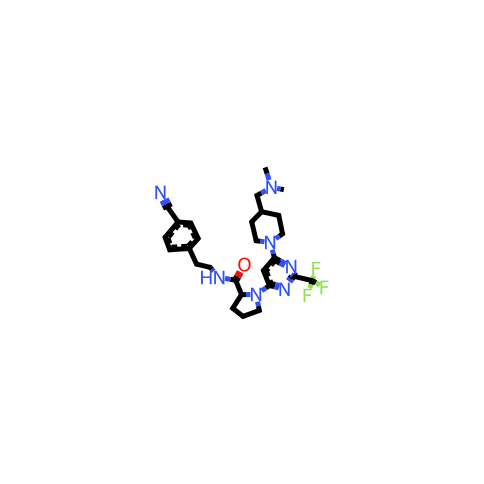 CN(C)CC1CCN(c2cc(N3CCCC3C(=O)NCCc3ccc(C#N)cc3)nc(C(F)(F)F)n2)CC1